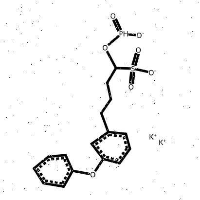 O=[PH]([O-])OC(CCCc1cccc(Oc2ccccc2)c1)S(=O)(=O)[O-].[K+].[K+]